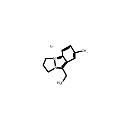 CCc1c2cc(C)ccc2[n+]2n1CCC2.[Br-]